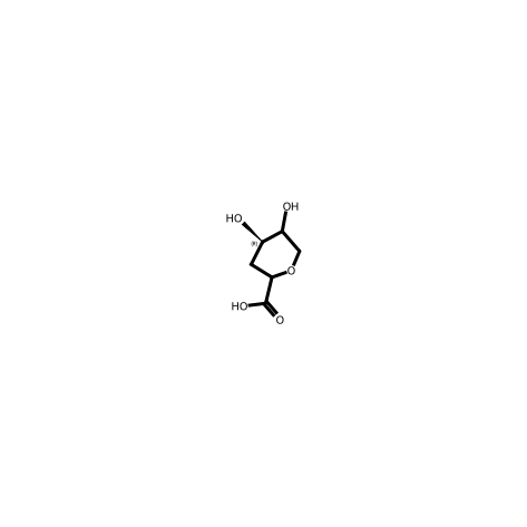 O=C(O)C1C[C@@H](O)C(O)CO1